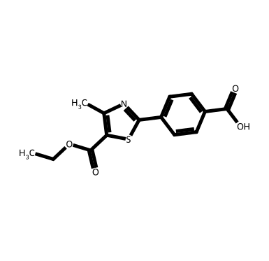 CCOC(=O)c1sc(-c2ccc(C(=O)O)cc2)nc1C